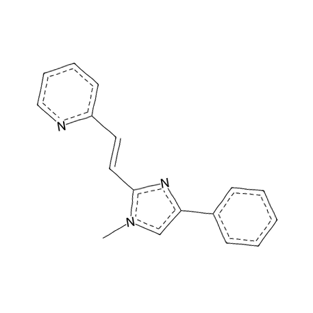 Cn1cc(-c2ccccc2)nc1C=Cc1ccccn1